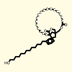 O=C1CCCCCCCCCCCCCCCCCC23CC(CO1)(COC2=O)CC31CC23CC(CCCCCCCCCCCCCO)C1(C2)C3